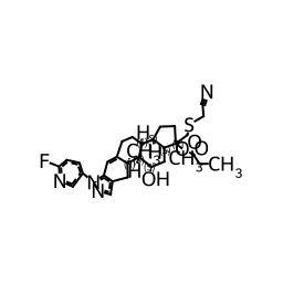 CCC(=O)O[C@]1(C(=O)SCC#N)CC[C@H]2[C@@H]3CCC4=Cc5c(cnn5-c5ccc(F)nc5)C[C@]4(C)[C@H]3[C@@H](O)C[C@@]21C